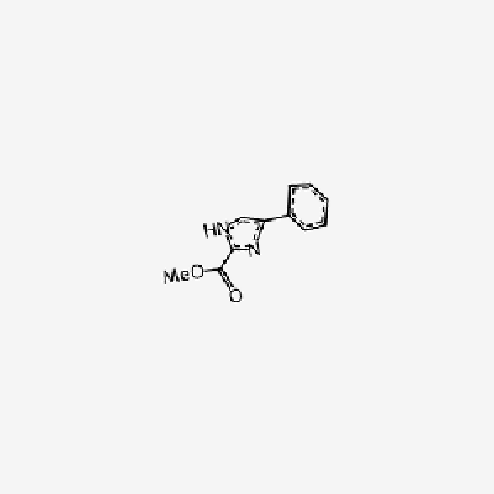 COC(=O)c1nc(-c2ccccc2)c[nH]1